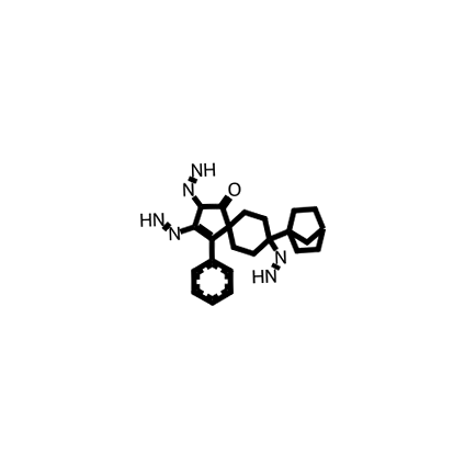 N=NC1=C(c2ccccc2)C2(CCC(N=N)(C34CCC(CC3)C4)CC2)C(=O)C1N=N